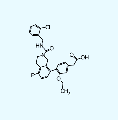 CCOc1cc(CC(=O)O)ccc1-c1ccc(F)c2c1CN(C(=O)NCc1ccccc1Cl)CC2